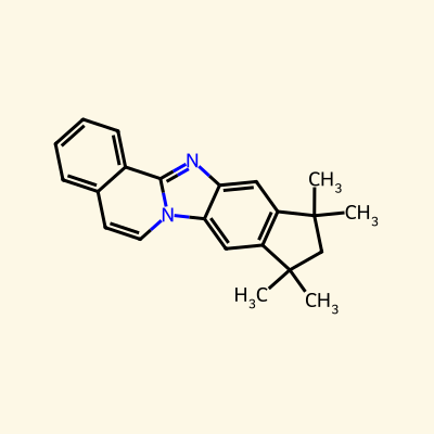 CC1(C)CC(C)(C)c2cc3c(cc21)nc1c2ccccc2ccn31